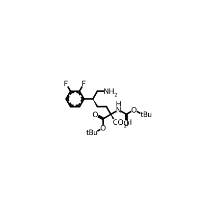 CC(C)(C)OC(=O)N[C@](CC[C@H](CN)c1cccc(F)c1F)(C(=O)O)C(=O)OC(C)(C)C